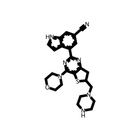 N#Cc1cc(-c2nc3c(c(N4CCOCC4)n2)SC(CN2CCNCC2)C3)c2cc[nH]c2c1